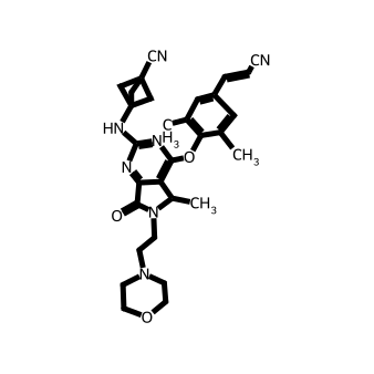 Cc1cc(/C=C/C#N)cc(C)c1Oc1nc(NC23CC(C#N)(C2)C3)nc2c1C(C)N(CCN1CCOCC1)C2=O